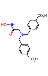 O=C(CN(Cc1ccc(C(=O)O)cc1)Cc1ccc(C(=O)O)cc1)NO